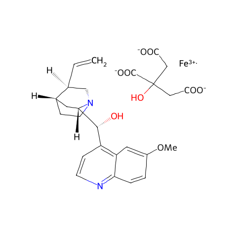 C=C[C@H]1C[N@]2CC[C@H]1C[C@H]2[C@H](O)c1ccnc2ccc(OC)cc12.O=C([O-])CC(O)(CC(=O)[O-])C(=O)[O-].[Fe+3]